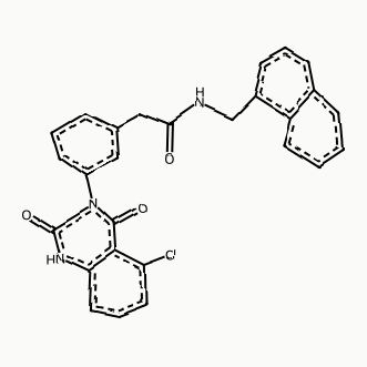 O=C(Cc1cccc(-n2c(=O)[nH]c3cccc(Cl)c3c2=O)c1)NCc1cccc2ccccc12